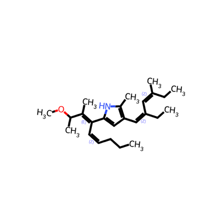 CCC/C=C\C(=C(\C)C(C)OC)c1cc(/C=C(\C=C(\C)CC)CC)c(C)[nH]1